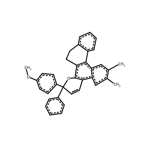 COc1ccc(C2(c3ccccc3)C=Cc3c(c4c(c5cc(C)c(C)cc35)-c3ccccc3CC4)O2)cc1